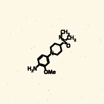 CN=S(C)(=O)C1CCN(c2ccc(N)c(OC)c2)CC1